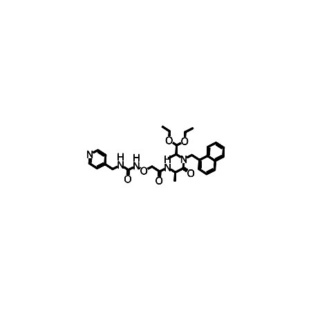 CCOC(OCC)C(C)N(Cc1cccc2ccccc12)C(=O)C(C)NC(=O)CONC(=O)NCc1ccncc1